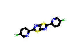 Clc1ccc(-c2nc3sc(-c4ccc(Cl)cn4)nc3s2)nc1